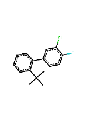 CC(C)(C)c1ccccc1-c1ccc(F)c(Cl)c1